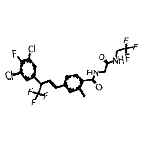 Cc1cc(/C=C/C(c2cc(Cl)c(F)c(Cl)c2)C(F)(F)F)ccc1C(=O)NCC(=O)NCC(F)(F)F